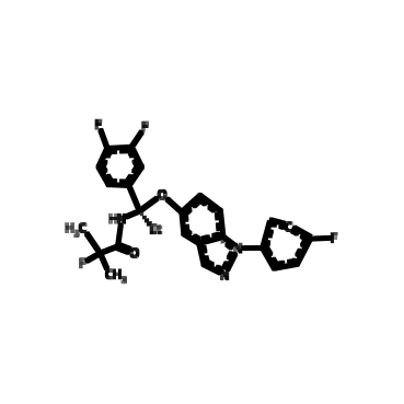 CC[C@@](NC(=O)C(C)(C)F)(Oc1ccc2c(cnn2-c2ccc(F)cc2)c1)c1ccc(F)c(F)c1